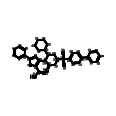 O=C(O)c1sc(-c2ccccc2)cc1N1C(=O)CN(S(=O)(=O)c2ccc(-c3ccccc3)cc2)CC1C1CCCCC1